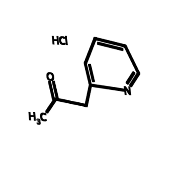 CC(=O)Cc1ccccn1.Cl